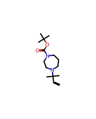 C=CC(C)(C)N1CCCN(C(=O)OC(C)(C)C)CC1